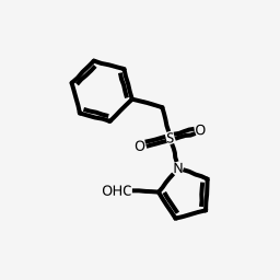 O=Cc1cccn1S(=O)(=O)Cc1ccccc1